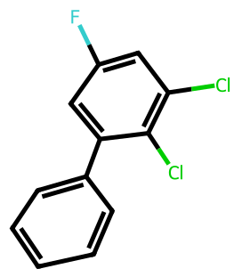 Fc1cc(Cl)c(Cl)c(-c2ccccc2)c1